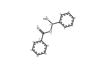 O=C(OB(O)c1ccccc1)c1ccccc1